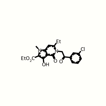 CCOC(=O)c1c(O)c2c(=O)n(CC(=O)c3cccc(Cl)c3)c(CC)cc2n1C